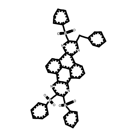 O=S(=O)(c1ccccc1)c1nc2c3cccc4c5nc(S(=O)(=O)c6ccccc6)c(S(=O)(=O)c6ccccc6)nc5c5cccc(c2nc1Cc1ccccc1)c5c34